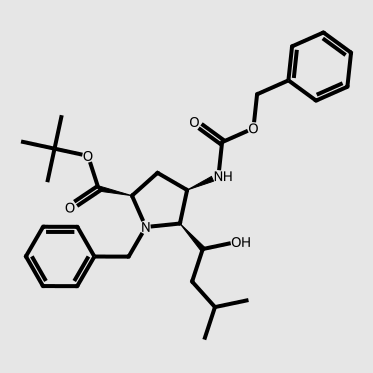 CC(C)CC(O)[C@@H]1[C@H](NC(=O)OCc2ccccc2)C[C@H](C(=O)OC(C)(C)C)N1Cc1ccccc1